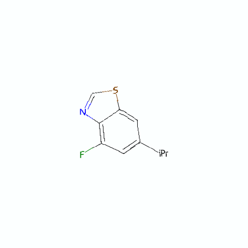 CC(C)c1cc(F)c2ncsc2c1